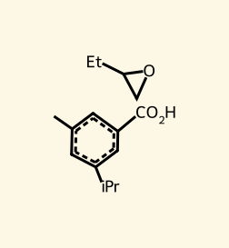 CCC1CO1.Cc1cc(C(=O)O)cc(C(C)C)c1